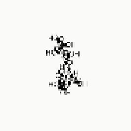 O=C(O)CN(CCN(CC(=O)O)CC(=O)O)CCN(CC(=O)O)CC(=O)NCCNC(=O)CN(CCN(CCN(CC(=O)O)CC(=O)O)CC(=O)O)CC(=O)O